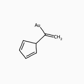 C=[C]([Au])C1C=CC=C1